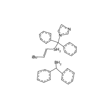 BC(c1ccccc1)c1ccccc1.CCC(C)C=C[SiH2]C(c1ccccc1)(c1ccccc1)n1ccnc1